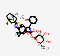 O=C(O[C@@H]1O[C@H](C(=O)O)[C@@H](O)[C@H](O)[C@H]1O)c1cc(F)c2nc(N3[C@@H]4CC[C@H]3CC(OCc3c(-c5ccccc5OC(F)(F)F)noc3C3CC3)C4)sc2c1